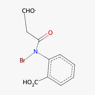 O=[C]CC(=O)N(Br)c1ccccc1C(=O)O